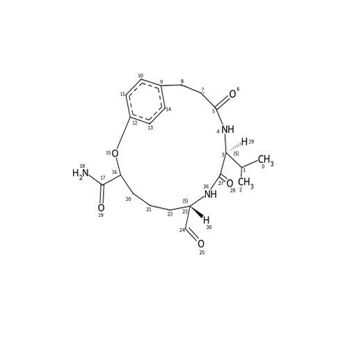 CC(C)[C@@H]1NC(=O)[CH]Cc2ccc(cc2)OC(C(N)=O)CCC[C@@H](C=O)NC1=O